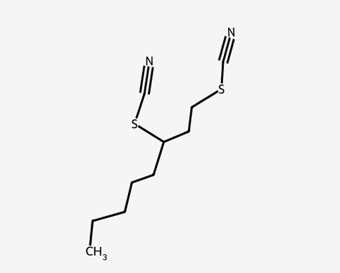 CCCCCC(CCSC#N)SC#N